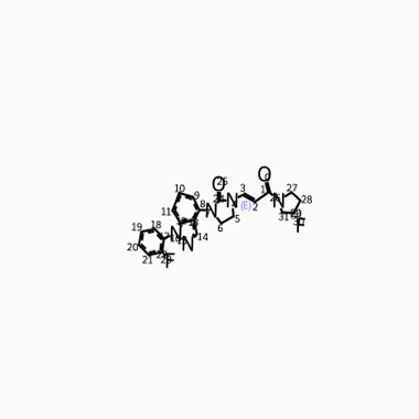 O=C(/C=C/N1CCN(c2cccc3c2cnn3-c2ccccc2F)C1=O)N1CC[C@H](F)C1